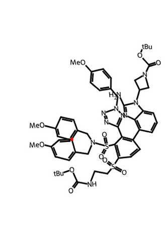 COc1ccc(CN(Cc2ccc(OC)cc2)S(=O)(=O)c2c(S(=O)(=O)CCNC(=O)OC(C)(C)C)ccc(-c3cccc4c3nc(N)n4C3CN(C(=O)OC(C)(C)C)C3)c2-c2nnn(Cc3ccc(OC)cc3)n2)cc1